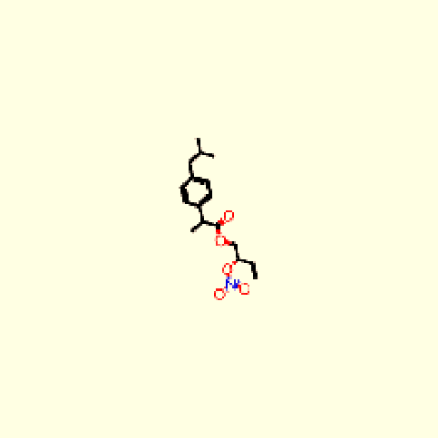 CCC(COC(=O)C(C)c1ccc(CC(C)C)cc1)O[N+](=O)[O-]